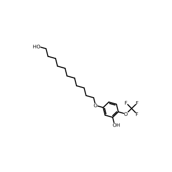 OCCCCCCCCCCCOc1ccc(OC(F)(F)F)c(O)c1